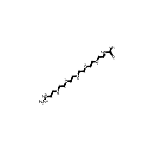 CC(C)C(=O)NCCOCCOCCOCCOCCOCCNN